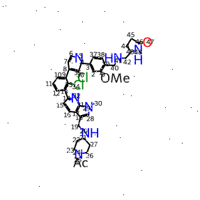 COc1cc(-c2nccc(-c3cccc(-c4ccc5c(CNC6CCN(C(C)=O)CC6)cn(C)c5n4)c3Cl)c2Cl)ccc1CNCC1CCC(=O)N1